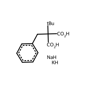 CC(C)(C)C(Cc1ccccc1)(C(=O)O)C(=O)O.[KH].[NaH]